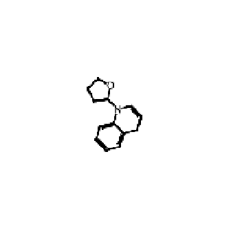 C1=CN(C2CCCO2)c2ccccc2C1